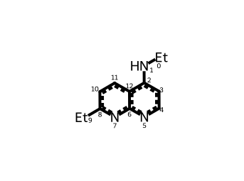 CCNc1ccnc2nc(CC)ccc12